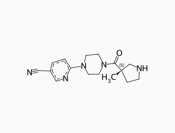 C[C@]1(C(=O)N2CCN(c3ccc(C#N)cn3)CC2)CCNC1